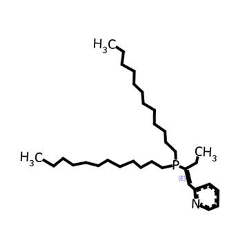 CCCCCCCCCCCCP(CCCCCCCCCCCC)/C(=C/c1ccccn1)CC